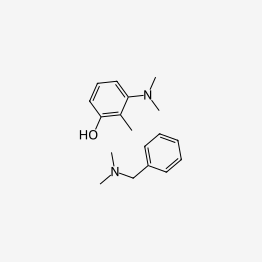 CN(C)Cc1ccccc1.Cc1c(O)cccc1N(C)C